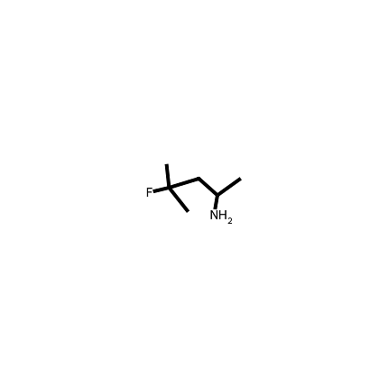 CC(N)CC(C)(C)F